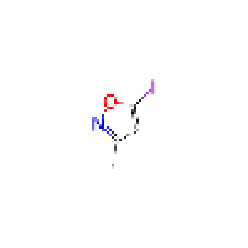 Cc1cc(I)on1